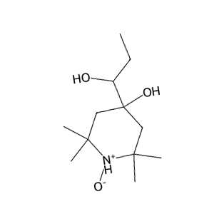 CCC(O)C1(O)CC(C)(C)[NH+]([O-])C(C)(C)C1